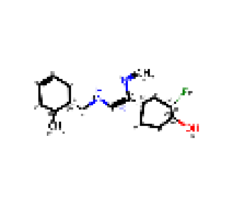 C=N/C(=C\NC[C@H]1CC=CCC1C)[C@H]1CC[C@H](O)[C@@H](F)C1